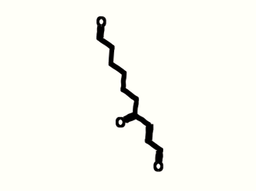 O=CC=CC(=O)CCCCCC=O